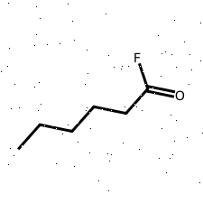 CCCCCC(=O)F